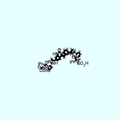 COC(=O)N[C@H](C(=O)N1CCC[C@H]1c1ncc(-c2ccc3c(c2)[nH]c(=O)n2c4ccc(-c5cnc([C@@H]6CCCN6C(=O)[C@H](C(C)C)N(C)C(=O)O)[nH]5)cc4cc32)[nH]1)C(C)C